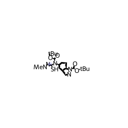 CN/N=C(\S)N(C(=O)OC(C)(C)C)c1ccc2c(cnn2C(=O)OC(C)(C)C)c1